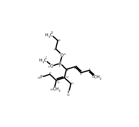 C=C/C=C/C(B(OC)OCCC)/C(CF)=C(/C)CF